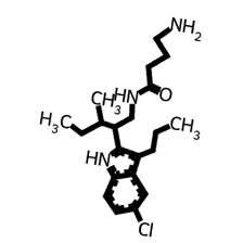 CCCc1c(C(CNC(=O)CCCN)C(C)CC)[nH]c2ccc(Cl)cc12